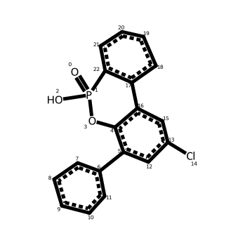 O=P1(O)Oc2c(-c3ccccc3)cc(Cl)cc2-c2ccccc21